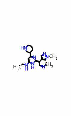 CCNC1=CC(C2CCCNC2)=N/C(=C(/C=N\C)c2cnn(C)c2)N1